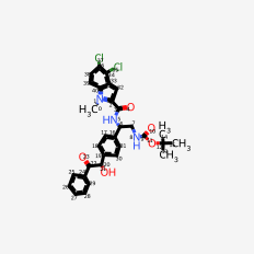 Cn1c(C(=O)NC(CNC(=O)OC(C)(C)C)c2ccc(C(O)C(=O)c3ccccc3)cc2)cc2c(Cl)c(Cl)ccc21